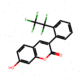 O=c1oc2cc(O)ccc2cc1-c1ccccc1C(F)(F)C(F)(F)F